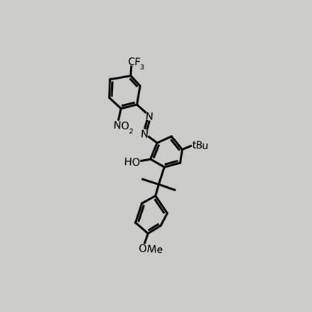 COc1ccc(C(C)(C)c2cc(C(C)(C)C)cc(N=Nc3cc(C(F)(F)F)ccc3[N+](=O)[O-])c2O)cc1